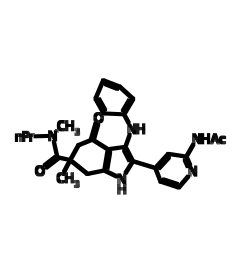 CCCN(C)C(=O)C1(C)CC(=O)c2c([nH]c(-c3ccnc(NC(C)=O)c3)c2Nc2ccccc2)C1